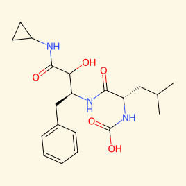 CC(C)C[C@H](NC(=O)O)C(=O)N[C@@H](Cc1ccccc1)C(O)C(=O)NC1CC1